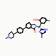 Cc1c[nH]c([C@@H](c2cc(F)ccc2O)N2Cc3ccc(-c4ccc(C5CCN(C)CC5)cc4)cc3C2=O)n1